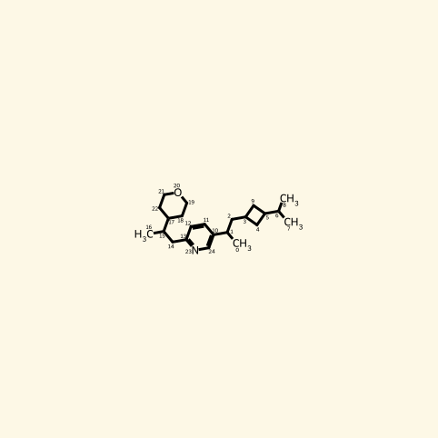 CC(CC1CC(C(C)C)C1)c1ccc(CC(C)C2CCOCC2)nc1